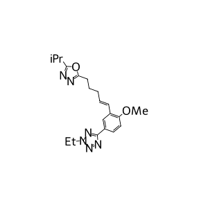 CCn1nnc(-c2ccc(OC)c(/C=C/CCCc3nnc(C(C)C)o3)c2)n1